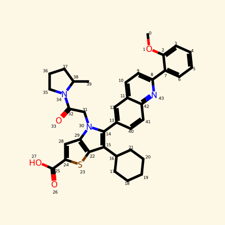 COc1ccccc1-c1ccc2cc(-c3c(C4CCCCC4)c4sc(C(=O)O)cc4n3CC(=O)N3CCCC3C)ccc2n1